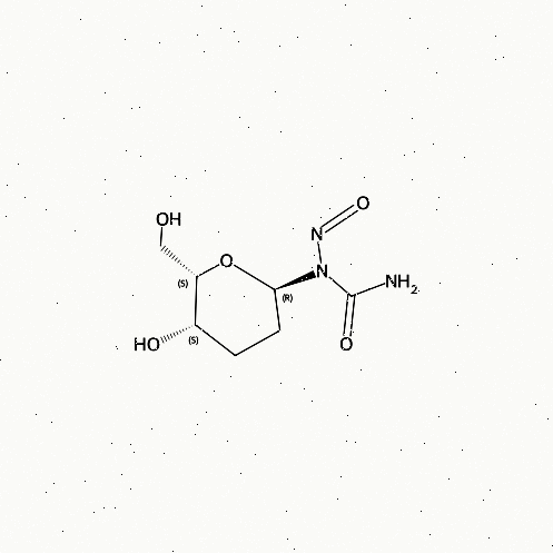 NC(=O)N(N=O)[C@H]1CC[C@H](O)[C@H](CO)O1